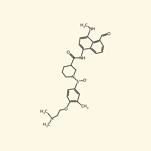 CNc1ccc(NC(=O)C2CCCN([S+]([O-])c3ccc(OCCN(C)C)c(C)c3)C2)c2cccc(C=O)c12